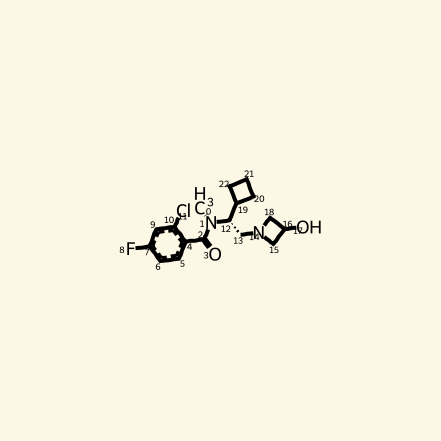 CN(C(=O)c1ccc(F)cc1Cl)[C@@H](CN1CC(O)C1)C1CCC1